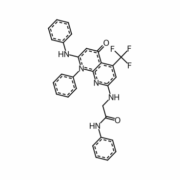 O=C(CNc1cc(C(F)(F)F)c2c(=O)cc(Nc3ccccc3)n(-c3ccccc3)c2n1)Nc1ccccc1